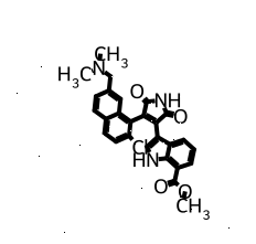 COC(=O)c1cccc2c(C3=C(c4c(Cl)ccc5ccc(CN(C)C)cc45)C(=O)NC3=O)c[nH]c12